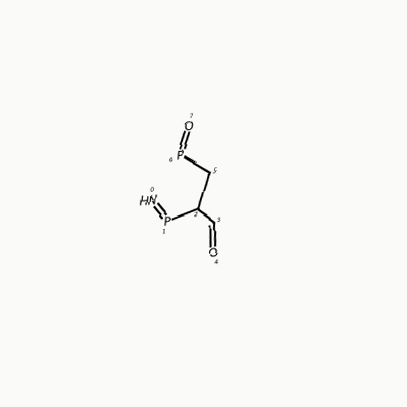 N=PC(C=O)CP=O